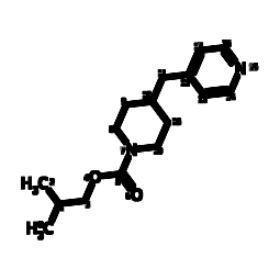 CC(C)COC(=O)N1CCC(Cc2ccncc2)CC1